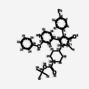 Cn1c(=O)c(-c2ccc(F)cc2)c(-c2ccnc(Oc3ccccc3)n2)n1C1CCN(C(=O)OC(C)(C)C)CC1